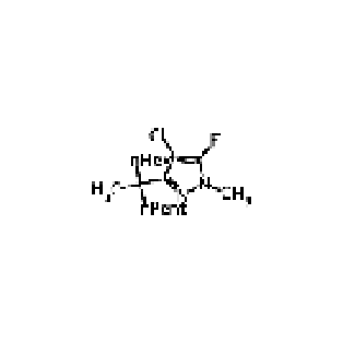 CCCCCCC(C)(CCCCC)c1nn(C)c(F)c1Cl